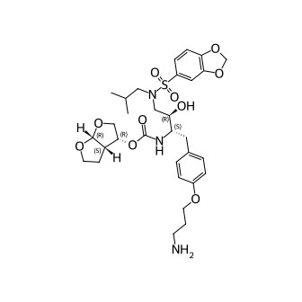 CC(C)CN(C[C@@H](O)[C@H](Cc1ccc(OCCCN)cc1)NC(=O)O[C@H]1CO[C@H]2OCC[C@H]21)S(=O)(=O)c1ccc2c(c1)OCO2